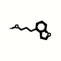 [CH2]OCCCc1cccc2occc12